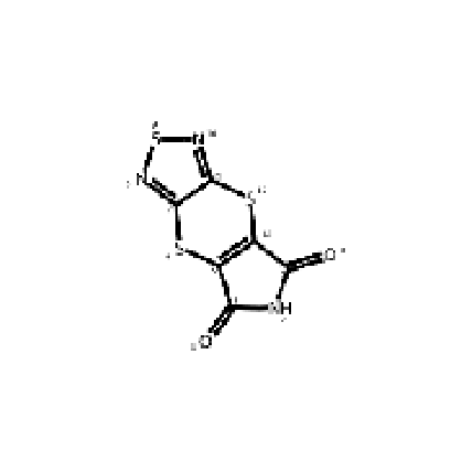 O=c1[nH]c(=O)c2sc3nsnc3sc1=2